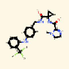 CN1CCN=C1C(=O)NC1(C(=O)NCc2ccc(Nc3ccccc3C(F)(F)F)cc2)CC1